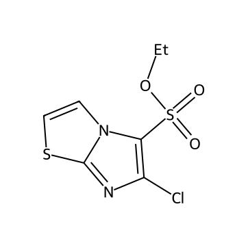 CCOS(=O)(=O)c1c(Cl)nc2sccn12